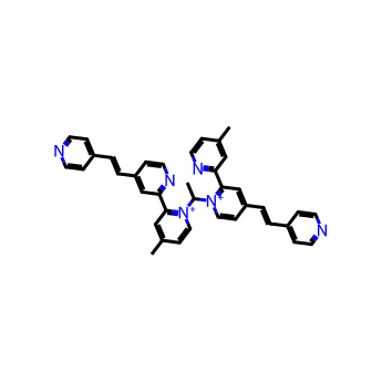 Cc1ccnc(-c2cc(/C=C/c3ccncc3)cc[n+]2C(C)[n+]2ccc(C)cc2-c2cc(/C=C/c3ccncc3)ccn2)c1